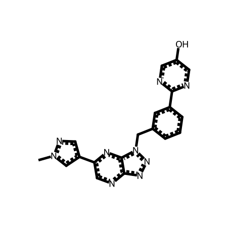 Cn1cc(-c2cnc3nnn(Cc4cccc(-c5ncc(O)cn5)c4)c3n2)cn1